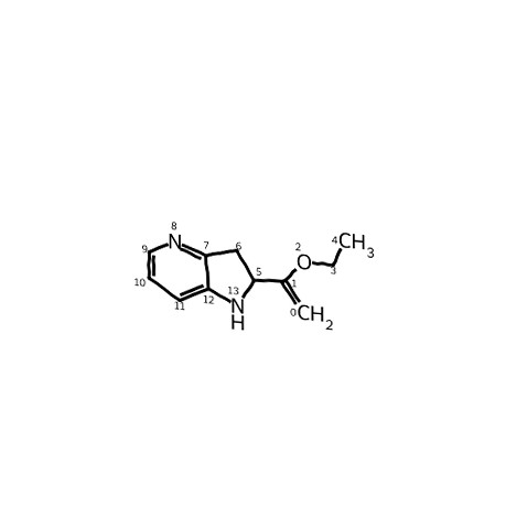 C=C(OCC)C1Cc2ncccc2N1